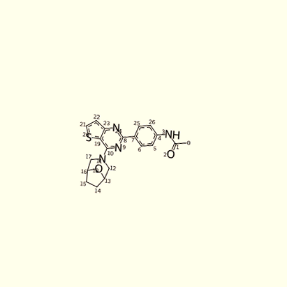 CC(=O)Nc1ccc(-c2nc(N3CC4CCC(C3)O4)c3sccc3n2)cc1